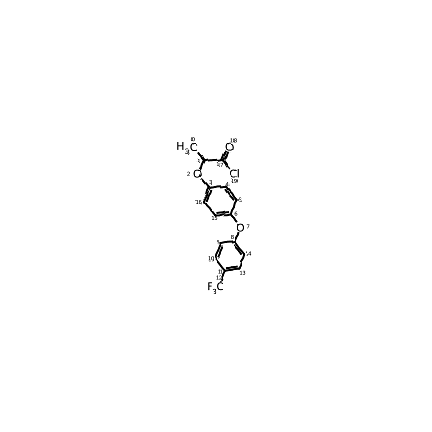 CC(Oc1ccc(Oc2ccc(C(F)(F)F)cc2)cc1)C(=O)Cl